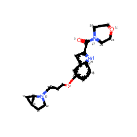 O=C(c1cc2cc(OCCCN3CCC4CC43)ccc2[nH]1)N1CCOCC1